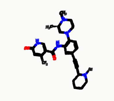 CC(=O)N1CCCCC1C#Cc1ccc(N2CCN(C)[C@@H](C)C2)c(NC(=O)c2c[nH]c(=O)cc2C(F)(F)F)c1